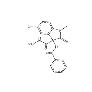 CCCCNC(=O)C1(OC(=O)c2ccccc2)C(=O)N(C)c2ccc(Cl)cc21